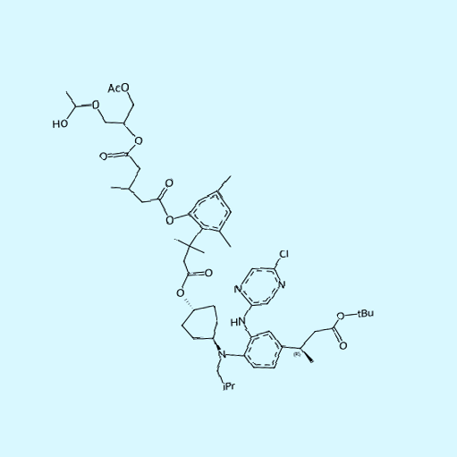 CC(=O)OCC(COC(C)O)OC(=O)CC(C)CC(=O)Oc1cc(C)cc(C)c1C(C)(C)CC(=O)O[C@H]1CC[C@H](N(CC(C)C)c2ccc([C@H](C)CC(=O)OC(C)(C)C)cc2Nc2cnc(Cl)cn2)CC1